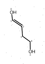 OC=CCCO